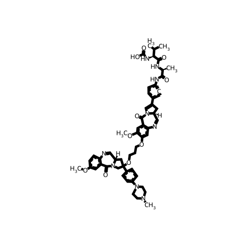 COc1ccc2c(c1)C(=O)N1CC(OCCCOc3cc4c(cc3OC)C(=O)N3C=C(c5ccc(NC(=O)[C@H](C)NC(=O)[C@@H](NC(=O)O)C(C)C)cc5)C[C@H]3C=N4)(c3ccc(N4CCN(C)CC4)cc3)C[C@H]1C=N2